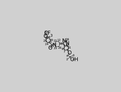 CC(C)(O)COc1ccc2c(C3CCN(C(=O)c4ccc(OC(F)(F)F)cc4)CC3)ncnc2c1